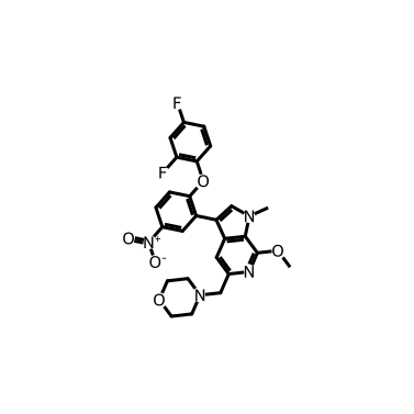 COc1nc(CN2CCOCC2)cc2c(-c3cc([N+](=O)[O-])ccc3Oc3ccc(F)cc3F)cn(C)c12